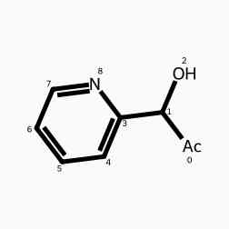 CC(=O)C(O)c1ccccn1